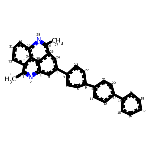 Cc1nc2cc(-c3ccc(-c4ccc(-c5ccccc5)cc4)cc3)cc3c(C)nc4cccc1c4c23